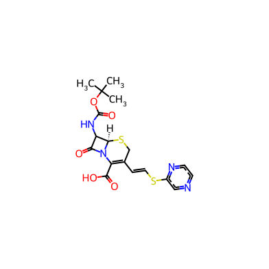 CC(C)(C)OC(=O)NC1C(=O)N2C(C(=O)O)=C(/C=C/Sc3cnccn3)CS[C@H]12